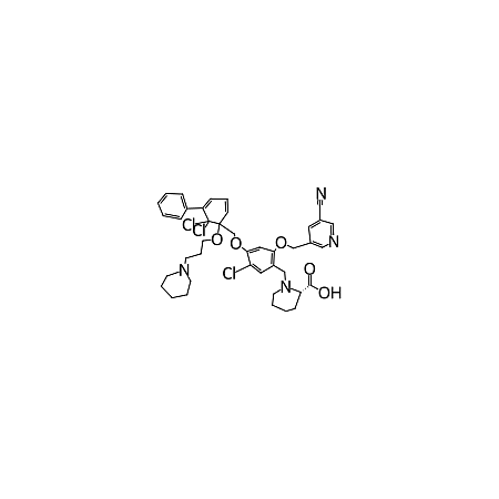 N#Cc1cncc(COc2cc(OCC3(OCCCN4CCCCC4)C=CC=C(c4ccccc4)C3(Cl)Cl)c(Cl)cc2CN2CCCC[C@H]2C(=O)O)c1